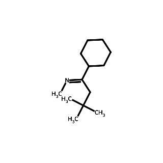 C/N=C(\CC(C)(C)C)C1CCCCC1